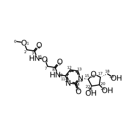 COCC(=O)NOCC(=O)Nc1ccn([C@@H]2O[C@H](CO)C(O)[C@H]2O)c(=O)n1